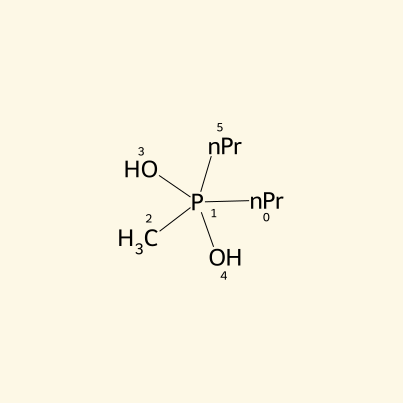 CCCP(C)(O)(O)CCC